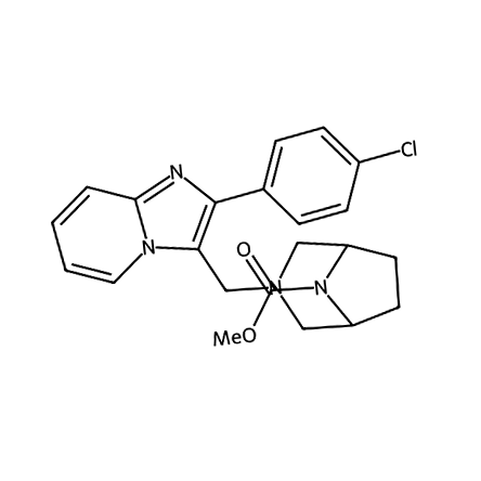 COC(=O)N1C2CCC1CN(Cc1c(-c3ccc(Cl)cc3)nc3ccccn13)C2